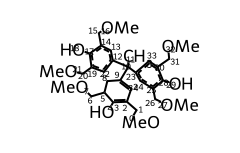 COCC1=C(O)C(COC)CC(C(C)(c2cc(COC)c(O)c(COC)c2)c2cc(COC)c(O)c(COC)c2)=C1